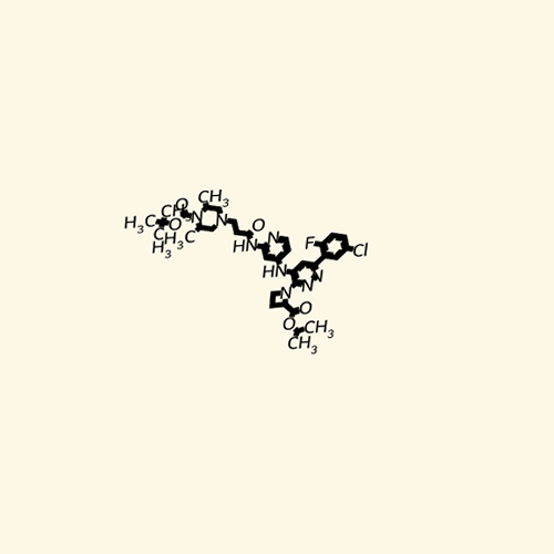 CC(C)OC(=O)C1CCN1c1nnc(-c2cc(Cl)ccc2F)cc1Nc1ccnc(NC(=O)CCN2CC(C)N(C(=O)OC(C)(C)C)C(C)C2)c1